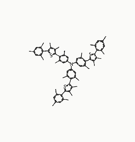 Cc1cc(C)c(-c2sc(-c3c(C)cc(N(c4cc(C)c(-c5sc(-c6c(C)cc(C)cc6C)c(C)c5C)c(C)c4)c4cc(C)c(-c5sc(-c6c(C)cc(C)cc6C)c(C)c5C)c(C)c4)cc3C)c(C)c2C)c(C)c1